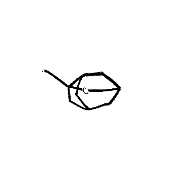 [CH2]C12CC3CC(CC1C3)C2